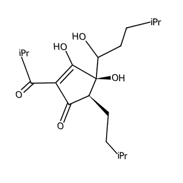 CC(C)CCC(O)[C@@]1(O)C(O)=C(C(=O)C(C)C)C(=O)[C@@H]1CCC(C)C